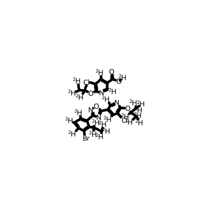 [2H]OC(=O)c1c([2H])nc(OC([2H])(C)C([2H])[2H])c(Cl)c1[2H].[2H]c1nc(OC([2H])(C([2H])([2H])[2H])C([2H])([2H])[2H])c(Cl)c([2H])c1-c1nc(-c2c([2H])c([2H])c([2H])c(Br)c2C([2H])([2H])C([2H])([2H])[2H])no1